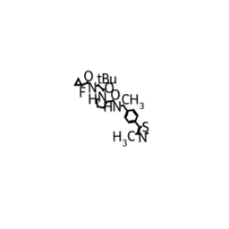 Cc1ncsc1-c1ccc(C(C)NC(=O)C2CCCN2C(=O)C(NC(=O)C2(F)CC2)C(C)(C)C)cc1